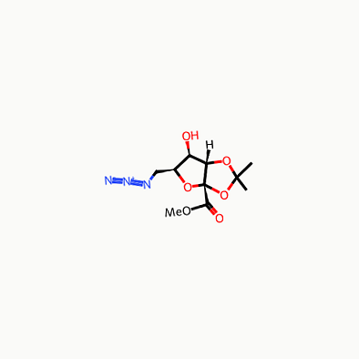 COC(=O)[C@@]12O[C@@H](CN=[N+]=[N-])[C@@H](O)[C@@H]1OC(C)(C)O2